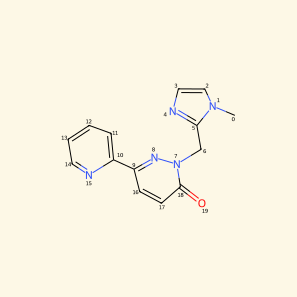 Cn1ccnc1Cn1nc(-c2ccccn2)ccc1=O